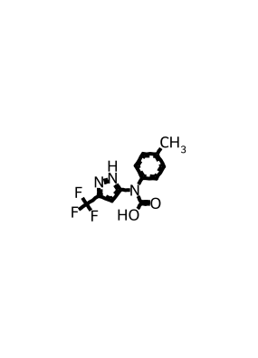 Cc1ccc(N(C(=O)O)c2cc(C(F)(F)F)n[nH]2)cc1